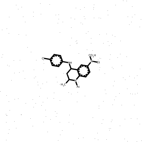 CCN(C(=O)O)c1ccc2c(c1)C(Nc1ccc(Cl)cc1)CC(C)N2C(C)=O